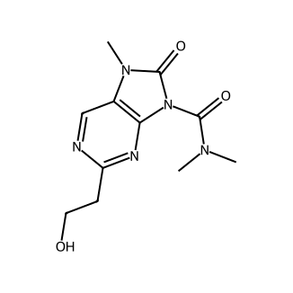 CN(C)C(=O)n1c(=O)n(C)c2cnc(CCO)nc21